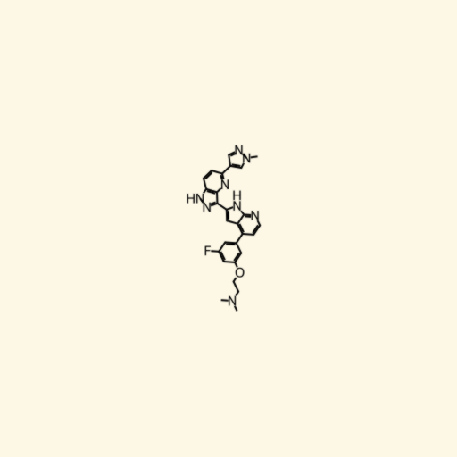 CN(C)CCOc1cc(F)cc(-c2ccnc3[nH]c(-c4n[nH]c5ccc(-c6cnn(C)c6)nc45)cc23)c1